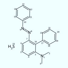 CN(C)c1cccc(N=Nc2ccccc2)c1-c1ccccc1.S